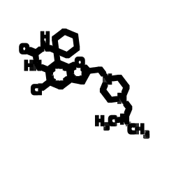 CN(C)CN1CCN(Cc2cc3cc(Cl)c4c(c3o2)C2(CCCCC2)NC(=O)N4)CC1